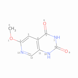 COc1cc2c(=O)[nH]c(=O)[nH]c2cn1